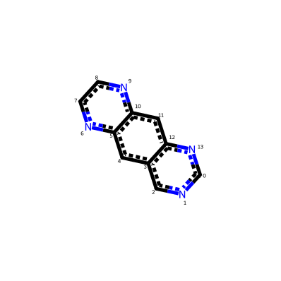 [c]1ncc2cc3nccnc3cc2n1